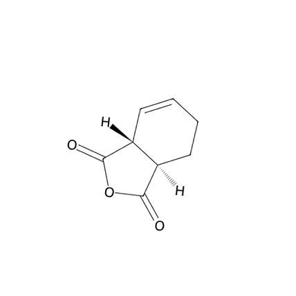 O=C1OC(=O)[C@@H]2CCC=C[C@@H]12